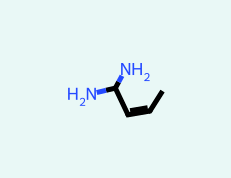 C/C=C\C(N)N